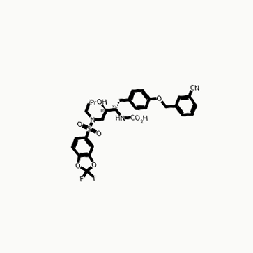 CC(C)CN(C[C@@H](O)[C@H](Cc1ccc(OCc2cccc(C#N)c2)cc1)NC(=O)O)S(=O)(=O)c1ccc2c(c1)OC(F)(F)O2